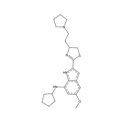 COc1cc(NC2CCCC2)c2[nH]c(C3=NC(CCN4CCCC4)CS3)cc2c1